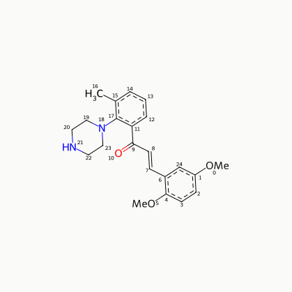 COc1ccc(OC)c(C=CC(=O)c2cccc(C)c2N2CCNCC2)c1